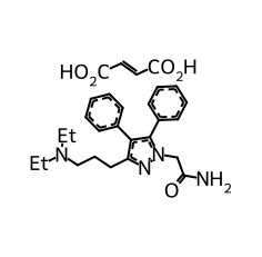 CCN(CC)CCCc1nn(CC(N)=O)c(-c2ccccc2)c1-c1ccccc1.O=C(O)C=CC(=O)O